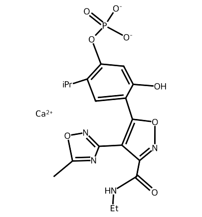 CCNC(=O)c1noc(-c2cc(C(C)C)c(OP(=O)([O-])[O-])cc2O)c1-c1noc(C)n1.[Ca+2]